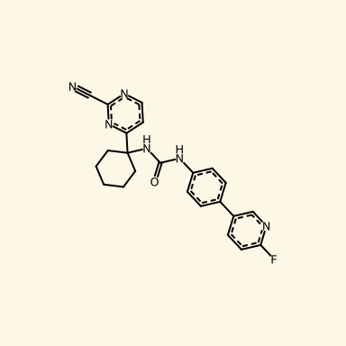 N#Cc1nccc(C2(NC(=O)Nc3ccc(-c4ccc(F)nc4)cc3)CCCCC2)n1